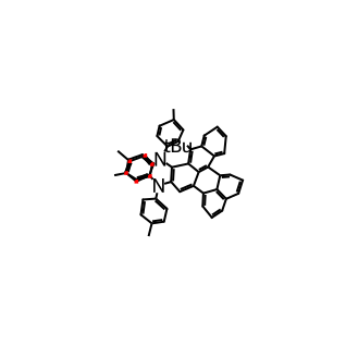 Cc1ccc(N(c2ccc(C)cc2)c2cc3c4cccc5cccc(c54)c4c5ccccc5c(C(C)(C)C)c(c2N(c2ccc(C)cc2)c2ccc(C)cc2)c34)cc1